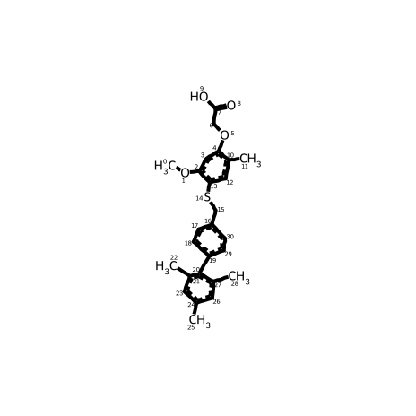 COc1cc(OCC(=O)O)c(C)cc1SCc1ccc(-c2c(C)cc(C)cc2C)cc1